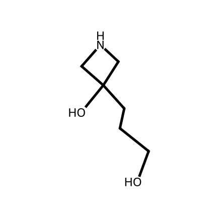 OCCCC1(O)CNC1